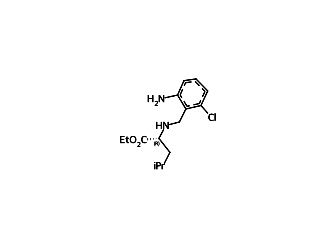 CCOC(=O)[C@@H](CC(C)C)NCc1c(N)cccc1Cl